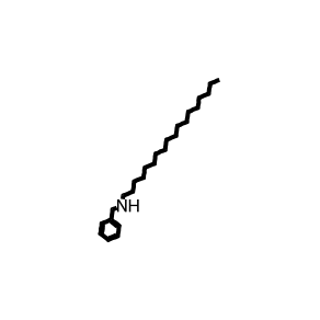 CCCCCCCCCCCCCCCCCCNCc1ccccc1